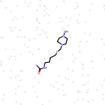 CCCN1CCN(CCCCCCNC(=O)I)CC1